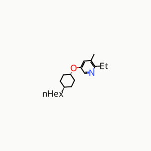 CCCCCC[C@H]1CC[C@H](Oc2cnc(CC)c(C)c2)CC1